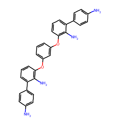 Nc1ccc(-c2cccc(Oc3cccc(Oc4cccc(-c5ccc(N)cc5)c4N)c3)c2N)cc1